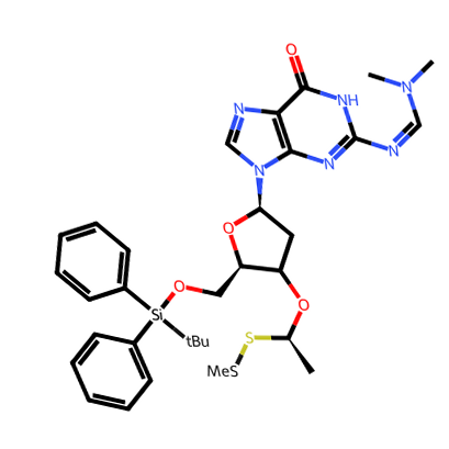 CSS[C@H](C)OC1C[C@H](n2cnc3c(=O)[nH]c(/N=C\N(C)C)nc32)O[C@@H]1CO[Si](c1ccccc1)(c1ccccc1)C(C)(C)C